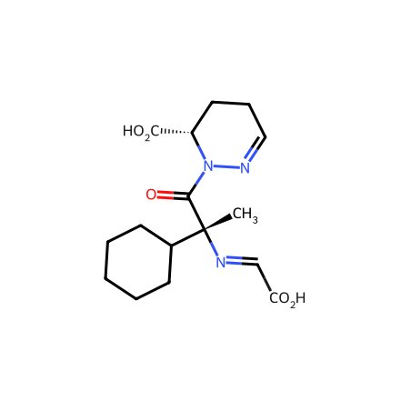 C[C@](N=CC(=O)O)(C(=O)N1N=CCC[C@H]1C(=O)O)C1CCCCC1